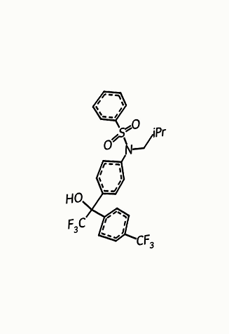 CC(C)CN(c1ccc(C(O)(c2ccc(C(F)(F)F)cc2)C(F)(F)F)cc1)S(=O)(=O)c1ccccc1